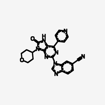 N#Cc1ccc2ncn(-c3nc(-c4ccncc4)c4[nH]c(=O)n(C5CCOCC5)c4n3)c2c1